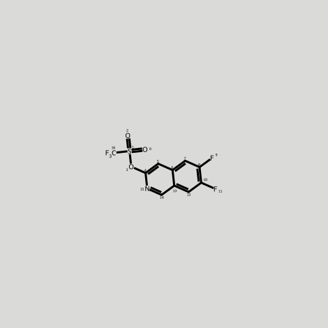 O=S(=O)(Oc1cc2cc(F)c(F)cc2cn1)C(F)(F)F